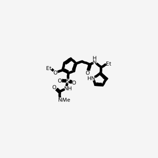 CCOc1ccc(CC(=O)NC(CC)c2ccc[nH]2)cc1S(=O)(=O)NC(=O)NC